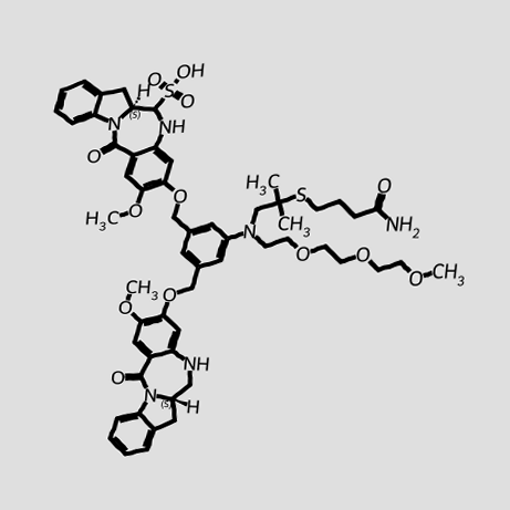 COCCOCCOCCN(CC(C)(C)SCCCC(N)=O)c1cc(COc2cc3c(cc2OC)C(=O)N2c4ccccc4C[C@H]2CN3)cc(COc2cc3c(cc2OC)C(=O)N2c4ccccc4C[C@H]2C(S(=O)(=O)O)N3)c1